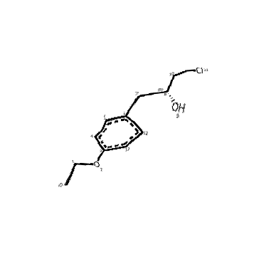 CCOc1ccc(C[C@@H](O)CCl)cc1